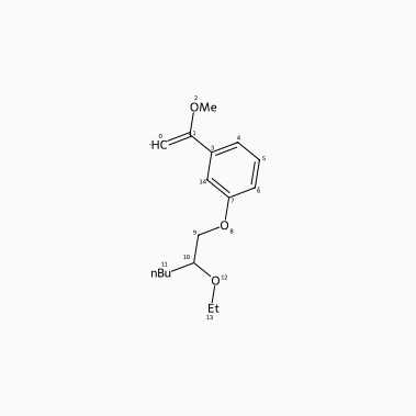 [CH]=C(OC)c1cc[c]c(OCC(CCCC)OCC)c1